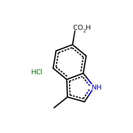 Cc1c[nH]c2cc(C(=O)O)ccc12.Cl